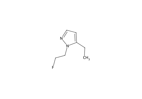 CCc1ccnn1CCF